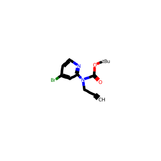 C#CCN(C(=O)OC(C)(C)C)c1cc(Br)ccn1